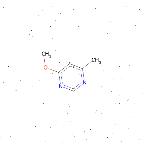 COc1[c]c(C)ncn1